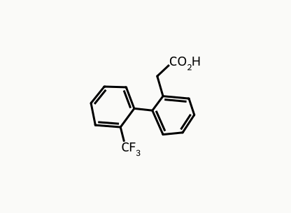 O=C(O)Cc1ccccc1-c1ccccc1C(F)(F)F